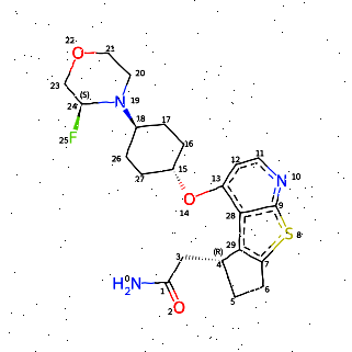 NC(=O)C[C@H]1CCc2sc3nccc(O[C@H]4CC[C@H](N5CCOC[C@@H]5F)CC4)c3c21